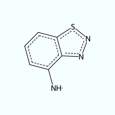 [NH]c1cccc2snnc12